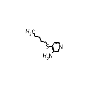 CCCCCSc1ccncc1N